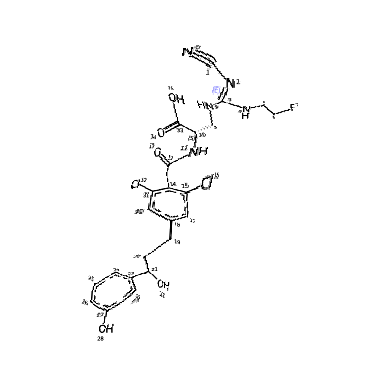 N#C/N=C(/NCCF)NC[C@H](NC(=O)c1c(Cl)cc(CCC(O)c2cccc(O)c2)cc1Cl)C(=O)O